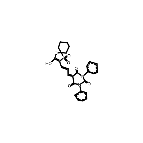 O=C1C(=CC=CC2=C(O)OC3(CCCCC3)S2(=O)=O)C(=O)N(c2ccccc2)C(=O)N1c1ccccc1